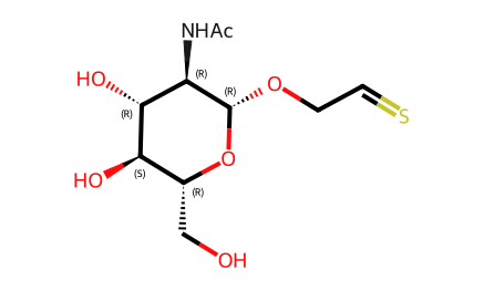 CC(=O)N[C@H]1[C@H](OCC=S)O[C@H](CO)[C@@H](O)[C@@H]1O